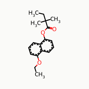 CCOc1cccc2c(OC(=O)C(C)(C)CC)cccc12